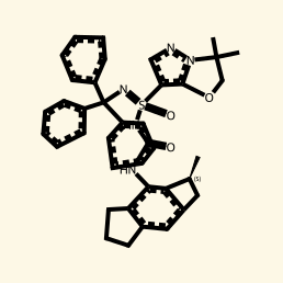 C[C@H]1Cc2cc3c(c(NC(=O)NS(=O)(=NC(c4ccccc4)(c4ccccc4)c4ccccc4)c4cnn5c4OCC5(C)C)c21)CCC3